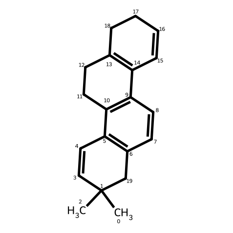 CC1(C)C=Cc2c(ccc3c2CCC2=C3C=CCC2)C1